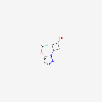 OC1CC(n2nccc2OC(F)F)C1